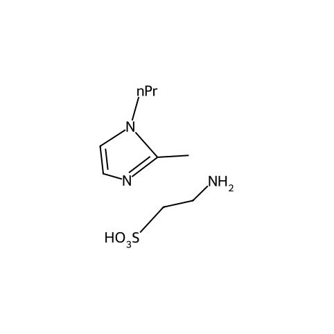 CCCn1ccnc1C.NCCS(=O)(=O)O